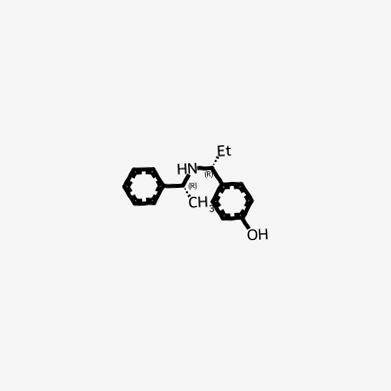 CC[C@@H](N[C@H](C)c1ccccc1)c1ccc(O)cc1